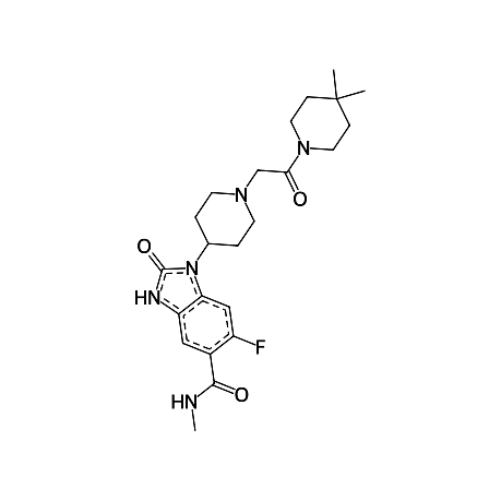 CNC(=O)c1cc2[nH]c(=O)n(C3CCN(CC(=O)N4CCC(C)(C)CC4)CC3)c2cc1F